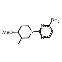 COC1CCN(c2nccc(N)n2)CC1C